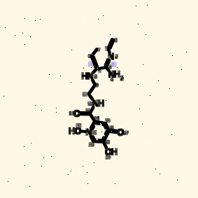 C=C/N=C(N)\C(=C/C)NCCNC(=O)c1cc(=O)c(O)cn1O